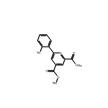 COC(=O)c1cc(C(=O)OC(C)(C)C)cc(-c2ccccc2C#N)n1